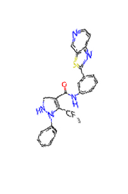 O=C(Nc1cccc(-c2nc3ccncc3s2)c1)C1=C(C(F)(F)F)N(c2ccccc2)NC1